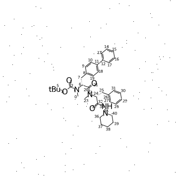 CN(C(=O)OC(C)(C)C)[C@H](Cc1ccc(-c2ccccc2)cc1)C(=O)N(C)[C@H](Cc1ccccc1)C(=O)NN1CCCCC1